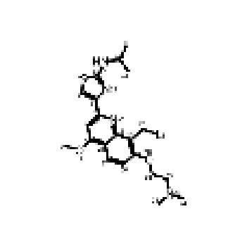 COc1cc(-c2csc(NC(C)C)n2)nc2c(CI)c(OCCN(C)C)ccc12